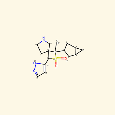 CC(C)C1(C2CC3CC3C2)C2(CCNC2)C(c2ccn[nH]2)S1(=O)=O